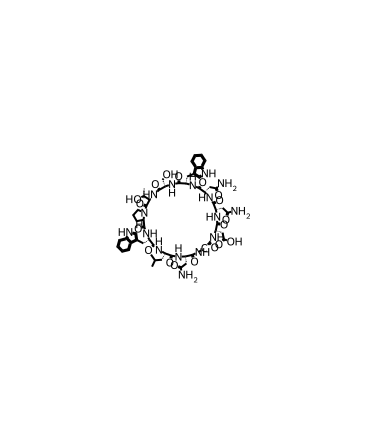 CC(C)C[C@@H]1NC(=O)[C@H](Cc2c[nH]c3ccccc23)NC(=O)[C@@H]2CCCN2C(=O)[C@H]([C@@H](C)O)NC(=O)[C@H](CO)NC(=O)[C@H](Cc2c[nH]c3ccccc23)NC(=O)[C@H](CC(N)=O)NC(=O)[C@H](CC(N)=O)NC(=O)[C@H](CC(=O)O)NC(=O)CNC(=O)[C@H](CC(N)=O)NC1=O